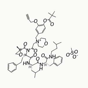 C#CCOc1cc(C[N+]2(CC(=O)N(C(=O)[C@@]3(C)CO3)[C@@H](CCc3ccccc3)C(=O)N[C@@H](CC(C)C)C(=O)N[C@@H](Cc3ccccc3)C(=O)NCCC(C)C)CCOCC2)ccc1OC(=O)C(C)(C)C.CS(=O)(=O)[O-]